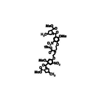 C=C1C[C@@H](C(=O)OC)N(C(=O)c2cc([N+](=O)[O-])c(OCCN(CCOc3cc(OC)c(C(=O)N4CC(=C)C[C@H]4C(=O)OC)cc3[N+](=O)[O-])C(=O)OC(C)(C)C)cc2OC)C1